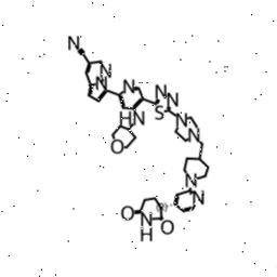 N#Cc1cnn2c(-c3cc(NC4CCOCC4)c(-c4nnc(N5CCN(CC6CCN(c7cc([C@H]8CCC(=O)NC8=O)ccn7)CC6)CC5)s4)cn3)ccc2c1